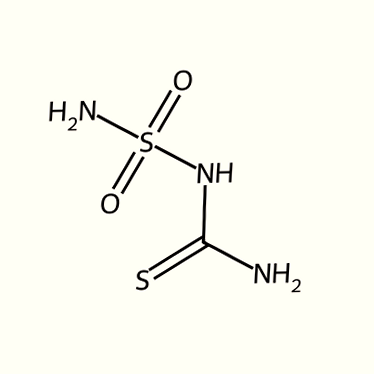 NC(=S)NS(N)(=O)=O